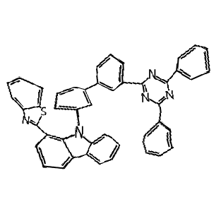 c1ccc(-c2nc(-c3ccccc3)nc(-c3cccc(-c4cccc(-n5c6ccccc6c6cccc(-c7nc8ccccc8s7)c65)c4)c3)n2)cc1